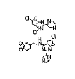 Clc1cc2c(Cl)nc(-c3cnccn3)nc2s1.Clc1cc2c(NCCc3ccc4c(c3)OCO4)nc(-c3cnccn3)nc2s1